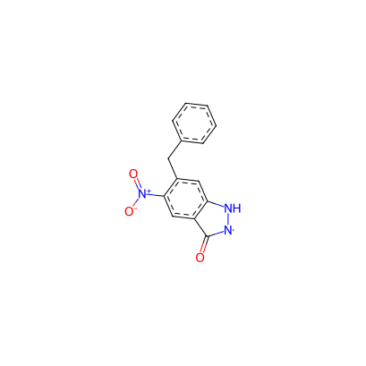 O=C1[N]Nc2cc(Cc3ccccc3)c([N+](=O)[O-])cc21